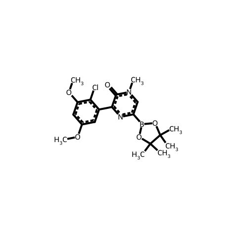 COc1cc(OC)c(Cl)c(-c2nc(B3OC(C)(C)C(C)(C)O3)cn(C)c2=O)c1